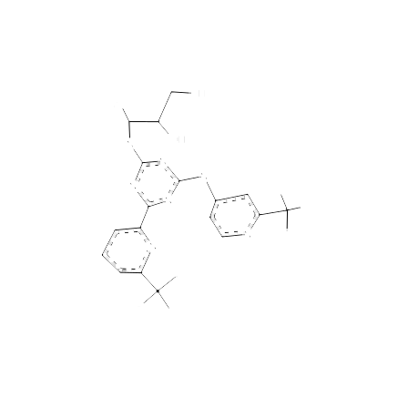 CCC(O)C(C)Nc1nc(Nc2ccnc(C(F)(F)F)c2)nc(-c2cccc(C(F)(F)F)n2)n1